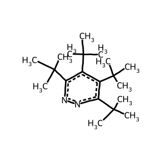 CC(C)(C)c1nnc(C(C)(C)C)c(C(C)(C)C)c1C(C)(C)C